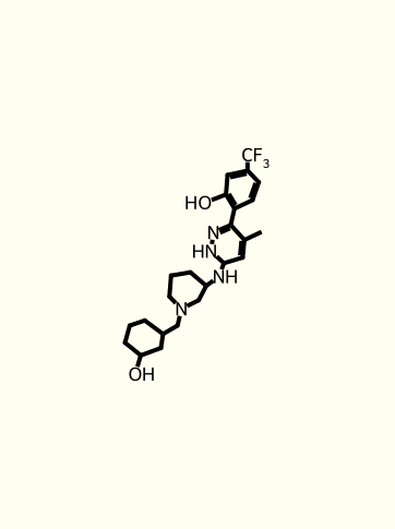 CC1=CC(NC2CCCN(CC3CCCC(O)C3)C2)NN=C1c1ccc(C(F)(F)F)cc1O